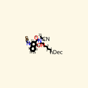 CCCCCCCCCCCCCCCCN(C(=O)c1cc(N=C=S)c2ccccc2c1O)C(C)C#N